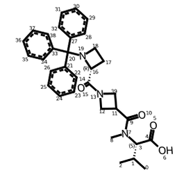 CC(C)[C@@H](C(=O)O)N(C)C(=O)C1CN(C(=O)[C@H]2CCN2C(c2ccccc2)(c2ccccc2)c2ccccc2)C1